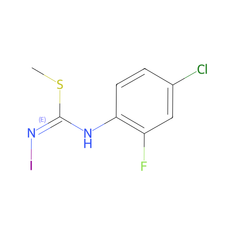 CS/C(=N/I)Nc1ccc(Cl)cc1F